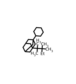 CCC(C)(C)C(C)(C)C12CC3CC(CC(C4CCCCC4)(C3)C1)C2